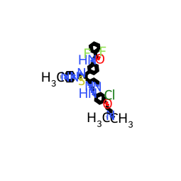 CN(C)CCOc1ccc(Nc2nccc(-c3sc(N4CCN(C)CC4)nc3-c3cccc(NC(=O)c4c(F)cccc4F)c3)n2)cc1Cl